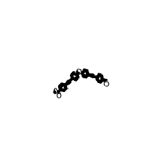 COC(=O)c1ccc(C#Cc2ccc(Oc3ccc(C#Cc4ccc(C=O)cc4)cc3)cc2)cc1